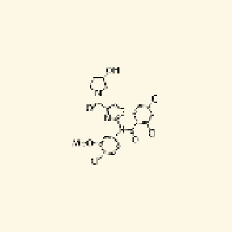 COc1cc(N(C(=O)c2ccc(Cl)cc2Cl)c2nc(C(=O)N3CC[C@H](O)C3)cs2)ccc1Cl